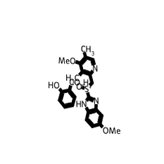 COc1ccc2[nH]c([S+]([O-])Cc3ncc(C)c(OC)c3C)nc2c1.O=C(O)c1ccccc1O